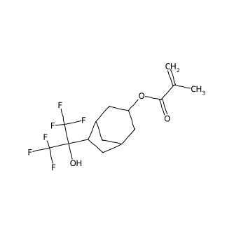 C=C(C)C(=O)OC1CC2CC(C1)C(C(O)(C(F)(F)F)C(F)(F)F)C2